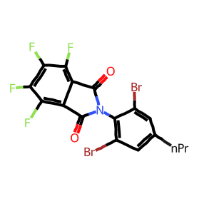 CCCc1cc(Br)c(N2C(=O)c3c(F)c(F)c(F)c(F)c3C2=O)c(Br)c1